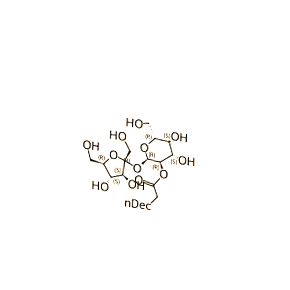 CCCCCCCCCCCC(=O)O[C@H]1[C@@H](O[C@@]2(CO)O[C@H](CO)[C@@H](O)[C@@H]2O)O[C@H](CO)[C@@H](O)[C@@H]1O